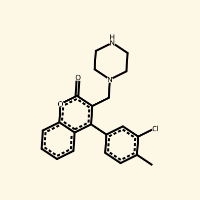 Cc1ccc(-c2c(CN3CCNCC3)c(=O)oc3ccccc23)cc1Cl